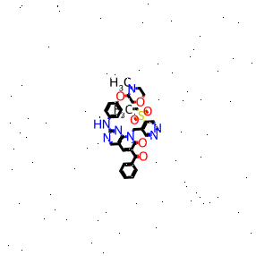 CN1CCOCC1Oc1ccc(Nc2ncc3cc(C(=O)c4ccccc4)c(=O)n(Cc4cnncc4S(=O)(=O)CC(F)(F)F)c3n2)cc1